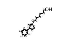 OCCCCCCSc1nc(-c2ccccc2)cs1